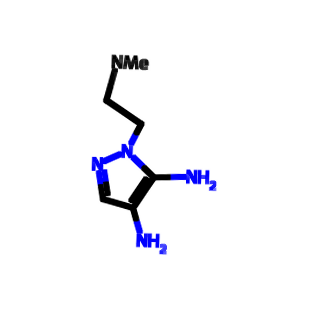 CNCCn1ncc(N)c1N